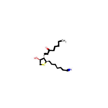 CCCCCC(=O)C=C[C@H]1[C@H](O)CS[C@@H]1CCCCCCC#N